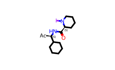 CC(=O)[C@@H](NC(=O)[C@@H]1CCCCN1I)C1CCCCC1